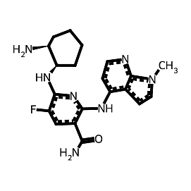 Cn1ccc2c(Nc3nc(N[C@@H]4CCCC[C@@H]4N)c(F)cc3C(N)=O)ccnc21